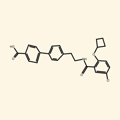 O=C(O)c1ccc(-c2ccc(CCNC(=O)c3cc(Cl)ccc3OC3CCC3)cc2)cc1